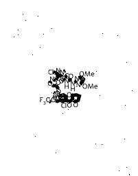 COc1cc(OC)nc(NC(=O)NS(=O)(=O)c2c(C3=NOCC(C)O3)c(Cl)nn2C)n1.CS(=O)(=O)c1ccc(C(=O)C2C(=O)CCCC2=O)c(Cl)c1COCC(F)(F)F